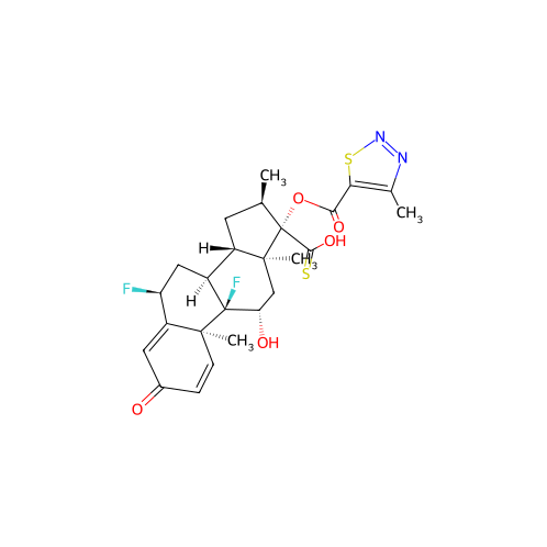 Cc1nnsc1C(=O)O[C@@]1(C(O)=S)[C@H](C)C[C@H]2[C@@H]3C[C@H](F)C4=CC(=O)C=C[C@]4(C)[C@@]3(F)[C@@H](O)C[C@@]21C